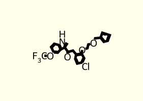 O=C(Cc1ccc(Cl)cc1OCCOCc1ccccc1)c1c[nH]c2ccc(OC(F)(F)F)cc12